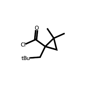 CC(C)(C)CC1(C(=O)Cl)CC1(C)C